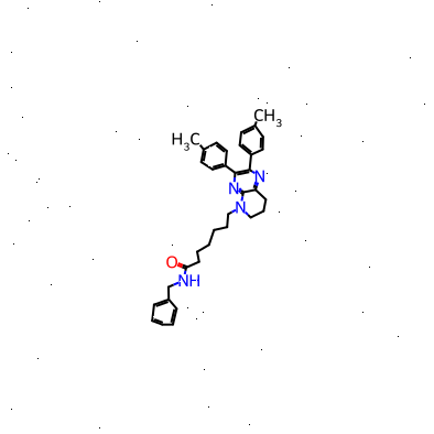 Cc1ccc(-c2nc3c(nc2-c2ccc(C)cc2)N(CCCCCCC(=O)NCc2ccccc2)CCC3)cc1